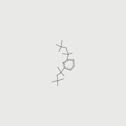 CC(C)(C)CC(C)(C)c1cccc(C(C)(C)CC(C)(C)C)n1